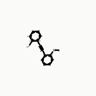 CSc1ccccc1C#Cc1ccccc1I